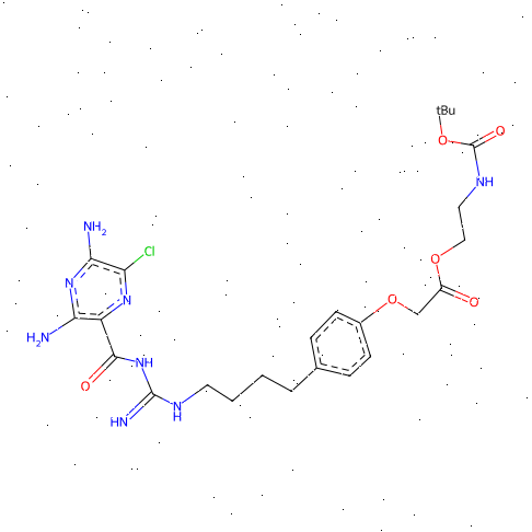 CC(C)(C)OC(=O)NCCOC(=O)COc1ccc(CCCCNC(=N)NC(=O)c2nc(Cl)c(N)nc2N)cc1